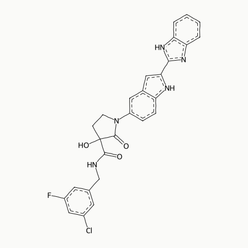 O=C(NCc1cc(F)cc(Cl)c1)C1(O)CCN(c2ccc3[nH]c(-c4nc5ccccc5[nH]4)cc3c2)C1=O